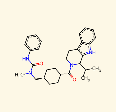 CC(C)C1c2[nH]c3ccccc3c2CCN1C(=O)[C@H]1CC[C@H](CN(C)C(=O)Nc2ccccc2)CC1